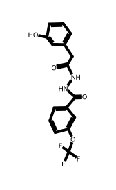 O=C(Cc1cccc(O)c1)NNC(=O)c1cccc(OC(F)(F)F)c1